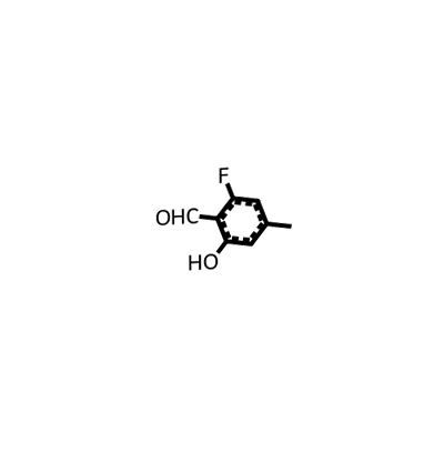 Cc1cc(O)c(C=O)c(F)c1